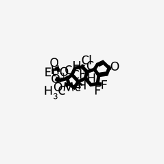 CCC(=O)OC1(C(=O)OC)C(C)C[C@H]2[C@@H]3CC(F)(F)C4=CC(=O)C=C[C@]4(C)[C@]3(Cl)C(Cl)C[C@@]21C